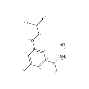 Cc1cc(OCC(F)F)cc(C(C)N)c1.Cl